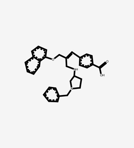 O=C(O)c1ccc(C=C(CNC2CCN(Cc3ccccc3)C2)COc2cccc3ccccc23)cc1